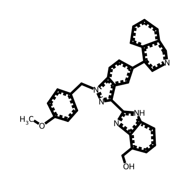 COc1ccc(Cn2nc(-c3nc4c(CO)cccc4[nH]3)c3cc(-c4cncc5ccccc45)ccc32)cc1